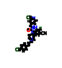 N#Cc1cc2c3c(n(C(=O)NCc4ccnc(Cl)c4)c2cc1F)CCN(CC=Cc1ccc(Cl)cc1)C3